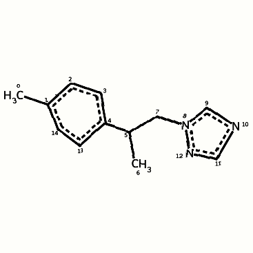 Cc1ccc(C(C)Cn2cncn2)cc1